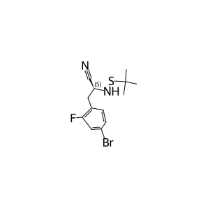 CC(C)(C)SN[C@H](C#N)Cc1ccc(Br)cc1F